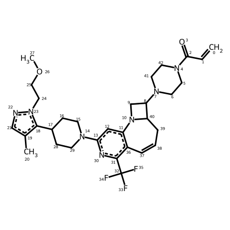 C=CC(=O)N1CCN(C2CN3c4cc(N5CCC(c6c(C)cnn6CCOC)CC5)nc(C(F)(F)F)c4C=CCC23)CC1